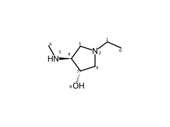 CCN1C[C@H](NC)[C@@H](O)C1